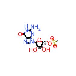 CS(=O)(=O)OC[C@H]1O[C@@H](n2cnc3c(=O)[nH]c(N)nc32)[C@H](O)[C@@H]1O